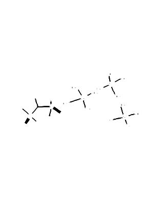 CCCC[N+](CCCC)(CCCC)CCCC.CCCC[N+](CCCC)(CCCC)CCCC.CCCC[N+](CCCC)(CCCC)CCCC.O=P([O-])([O-])C(F)P(=O)([O-])O